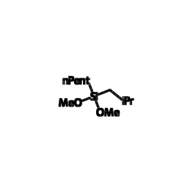 CCCCC[Si](CC(C)C)(OC)OC